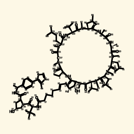 CC[C@@H]1NC(=O)[C@H]([C@H](O)[C@H](C)C/C=C/CCCCC(=O)N[C@H](C(=O)N2C[C@H](O)C[C@H]2C(=O)N[C@@H](C)c2ccc(-c3scnc3C)cc2)C(C)(C)C)N(C)C(=O)[C@H](C(C)C)N(C)C(=O)[C@H](CC(C)C)N(C)C(=O)[C@H](CC(C)C)N(C)C(=O)[C@@H](C)NC(=O)[C@H](C)NC(=O)[C@H](CC(C)C)N(C)C(=O)[C@H](C(C)C)NC(=O)[C@H](CCC(C)C)N(C)C(=O)CN(C)C1=O